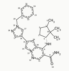 CC1CC[C@@H](Nc2c(C(N)=O)cnn3cc(-c4cnn(Cc5ccccc5)c4)cc23)C1(C)C